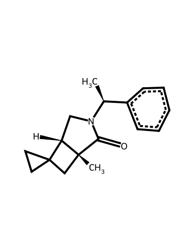 C[C@@H](c1ccccc1)N1C[C@H]2C3(CC3)C[C@@]2(C)C1=O